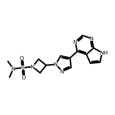 CN(C)S(=O)(=O)N1CC(n2cc(-c3ncnc4[nH]ccc34)cn2)C1